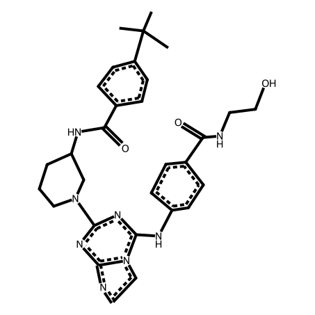 CC(C)(C)c1ccc(C(=O)NC2CCCN(c3nc(Nc4ccc(C(=O)NCCO)cc4)n4ccnc4n3)C2)cc1